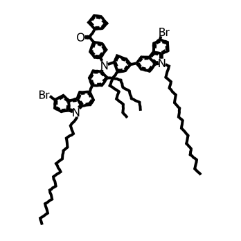 CCCCCCCCCCCCCCCCCn1c2ccc(Br)cc2c2cc(-c3ccc4c(c3)C(CCCCCC)(CCCCCC)c3cc(-c5ccc6c(c5)c5cc(Br)ccc5n6CCCCCCCCCCCCCCCCC)ccc3N4c3ccc(C(=O)c4ccccc4)cc3)ccc21